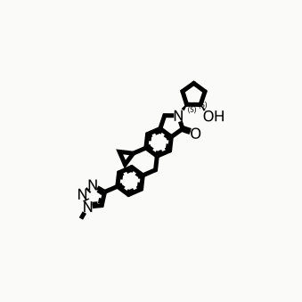 Cn1cc(-c2ccc(Cc3cc4c(cc3C3CC3)CN([C@H]3CCC[C@@H]3O)C4=O)cc2)nn1